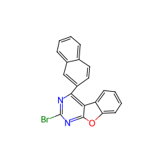 Brc1nc(-c2ccc3ccccc3c2)c2c(n1)oc1ccccc12